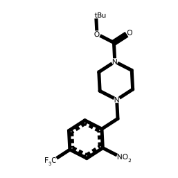 CC(C)(C)OC(=O)N1CCN(Cc2ccc(C(F)(F)F)cc2[N+](=O)[O-])CC1